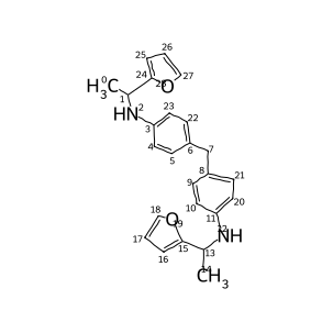 CC(Nc1ccc(Cc2ccc(NC(C)c3ccco3)cc2)cc1)c1ccco1